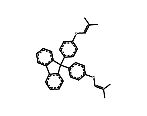 CC(C)=COc1ccc(C2(c3ccc(OC=C(C)C)cc3)c3ccccc3-c3ccccc32)cc1